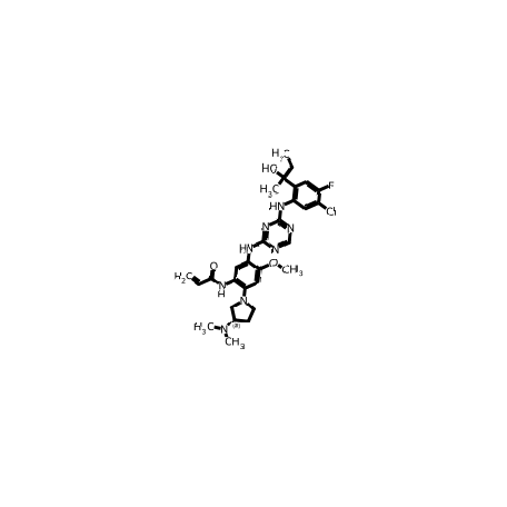 C=CC(=O)Nc1cc(Nc2ncnc(Nc3cc(Cl)c(F)cc3C(C)(O)CC)n2)c(OC)cc1N1CC[C@@H](N(C)C)C1